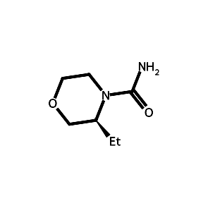 CC[C@H]1COCCN1C(N)=O